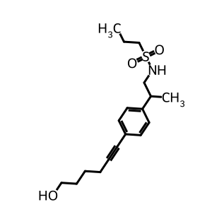 CCCS(=O)(=O)NCC(C)c1ccc(C#CCCCCO)cc1